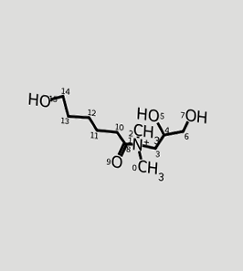 C[N+](C)(CC(O)CO)C(=O)CCCCCO